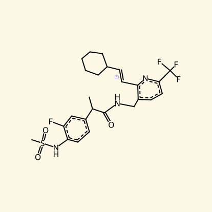 CC(C(=O)NCc1ccc(C(F)(F)F)nc1/C=C/C1CCCCC1)c1ccc(NS(C)(=O)=O)c(F)c1